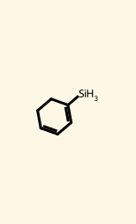 [SiH3]C1=CC=CCC1